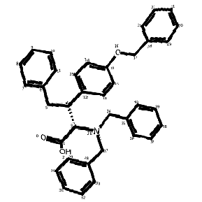 O=C(O)[C@H](C(Cc1ccccc1)c1ccc(OCc2ccccc2)cc1)N(Cc1ccccc1)Cc1ccccc1